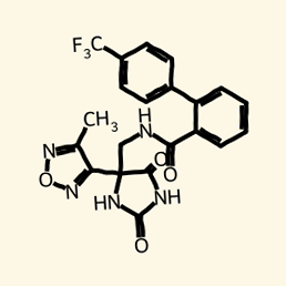 Cc1nonc1C1(CNC(=O)c2ccccc2-c2ccc(C(F)(F)F)cc2)NC(=O)NC1=O